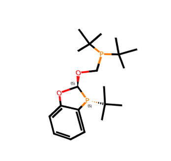 CC(C)(C)P(CO[C@@H]1Oc2ccccc2[P@@]1C(C)(C)C)C(C)(C)C